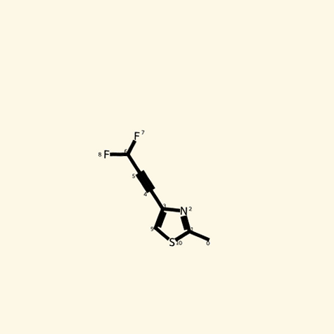 Cc1nc(C#CC(F)F)cs1